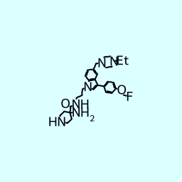 CCN1CCN(Cc2ccc3c(c2)c(-c2ccc(OCF)cc2)cn3CCCNC(=O)C2(N)CCNCC2)CC1